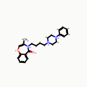 CC1=COc2ccccc2C(=O)N1CCCCN1CCN(c2ccccc2)CC1